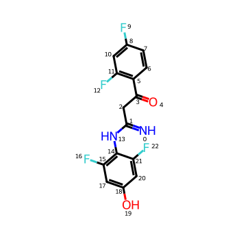 N=C(CC(=O)c1ccc(F)cc1F)Nc1c(F)cc(O)cc1F